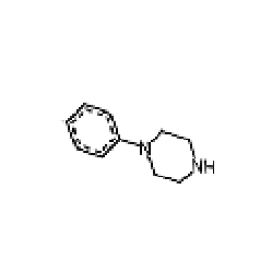 [c]1ccc(N2CCNCC2)cc1